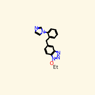 CCOn1nnc2cc(Cc3ccccc3-n3ccnc3)ccc21